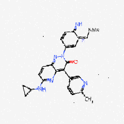 CN/C=C1/C=C(n2nc3ccc(NC4CC4)nc3c(-c3ccc(C)nc3)c2=O)C=CC1=N